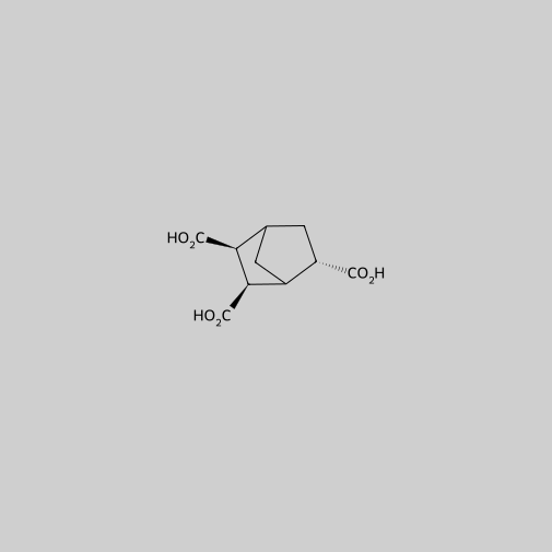 O=C(O)[C@H]1CC2CC1[C@@H](C(=O)O)[C@H]2C(=O)O